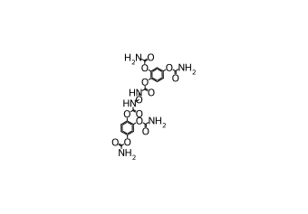 NC(=O)Oc1ccc(OC(=O)NONC(=O)Oc2ccc(OC(N)=O)cc2OC(N)=O)c(OC(N)=O)c1